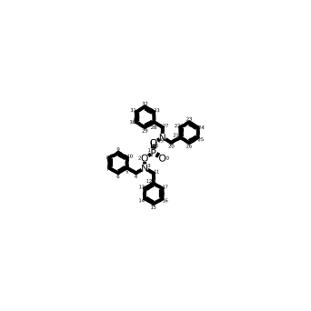 O=[PH](ON(Cc1ccccc1)Cc1ccccc1)ON(Cc1ccccc1)Cc1ccccc1